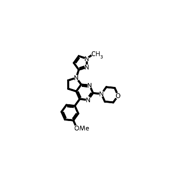 COc1cccc(-c2nc(N3CCOCC3)nc3c2CCN3c2ccn(C)n2)c1